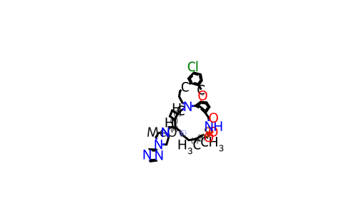 CO[C@@]1(CN2CCN(c3cnccn3)CC2)/C=C/C[C@H](C)[C@@H](C)S(=O)(=O)NC(=O)c2ccc3c(c2)N(CCCCc2cc(Cl)ccc2CO3)C[C@@H]2CC[C@H]21